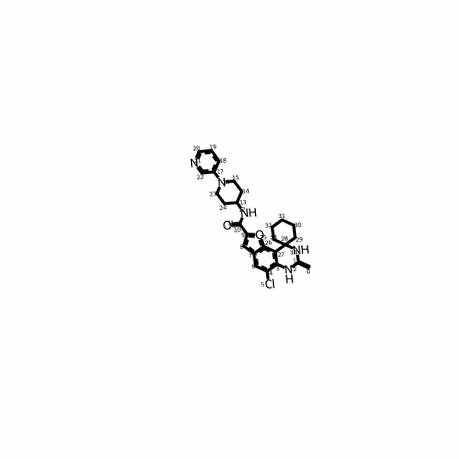 C=C1Nc2c(Cl)cc3cc(C(=O)NC4CCN(c5cccnc5)CC4)oc3c2C2(CCCCC2)N1